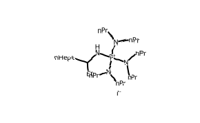 CCCCCCCC(CC)N[P+](N(CCC)CCC)(N(CCC)CCC)N(CCC)CCC.[I-]